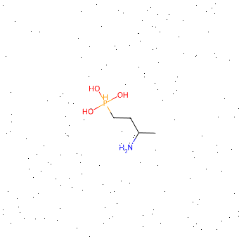 CC(N)CC[PH](O)(O)O